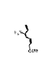 C=C/C(N)=C\C=C/COC